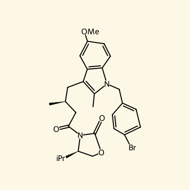 COc1ccc2c(c1)c(C[C@H](C)CC(=O)N1C(=O)OC[C@H]1C(C)C)c(C)n2Cc1ccc(Br)cc1